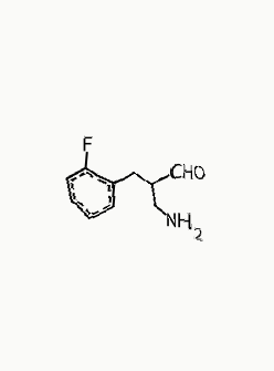 NCC(C=O)Cc1ccccc1F